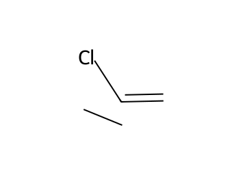 C=CCl.CC